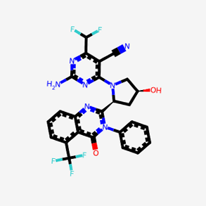 N#Cc1c(C(F)F)nc(N)nc1N1C[C@@H](O)C[C@H]1c1nc2cccc(C(F)(F)F)c2c(=O)n1-c1ccccc1